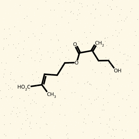 C=C(CCO)C(=O)OCCC=C(C)C(=O)O